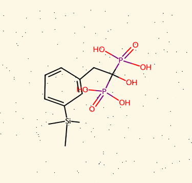 C[Si](C)(C)c1cccc(CC(O)(P(=O)(O)O)P(=O)(O)O)c1